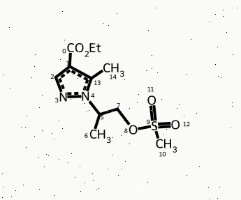 CCOC(=O)c1cnn(C(C)COS(C)(=O)=O)c1C